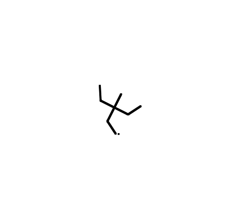 [CH2]CC(C)(CC)CC